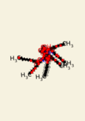 CCCCCCCCCCCCCC(=O)O[C@H](CCCCCCCCCCC)CC(=O)NCC(CO)(CO)CO[C@@H]1OC(CO)[C@@H](OP(=O)(O)O)C(OC(=O)C[C@@H](CCCCCCCCCCC)OC(=O)CCCCCCCCCCCCC)C1NC(=O)C[C@@H](CCCCCCCCCCC)OC(=O)CCCCCCCCCCCCC